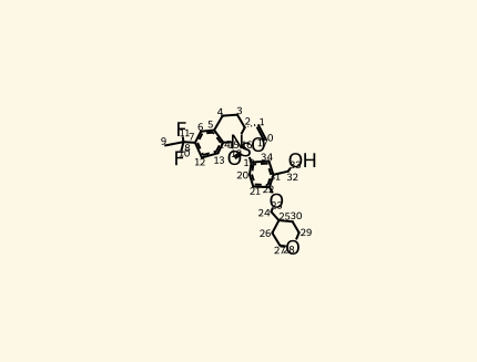 C=C[C@H]1CCc2cc(C(C)(F)F)ccc2N1S(=O)(=O)c1ccc(OCC2CCOCC2)c(CO)c1